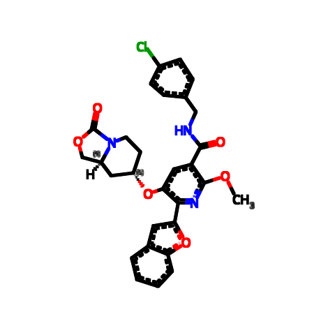 COc1nc(-c2cc3ccccc3o2)c(O[C@H]2CCN3C(=O)OC[C@@H]3C2)cc1C(=O)NCc1ccc(Cl)cc1